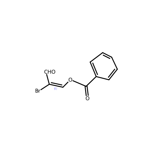 O=C/C(Br)=C\OC(=O)c1ccccc1